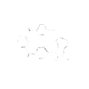 Cc1ccc(C(=O)c2cccc(C(=O)c3ccc(-n4c(=O)n(C(C)C)c5ccccc54)cc3)c2)cc1